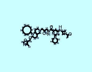 CC(=O)N1CC(Nc2cc(C(=O)NCC(O)CN3CCC4C(CCC(OCc5ocnc5C)N4C4CCCCCCCCC4)C3)nc(N3CCCCC3)n2)C1